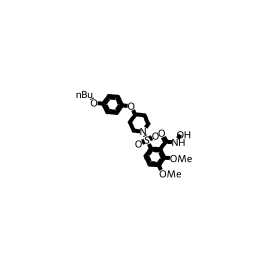 CCCCOc1ccc(OC2CCN(S(=O)(=O)c3ccc(OC)c(OC)c3C(=O)NO)CC2)cc1